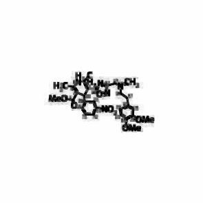 COC(=O)C1=C(C)NC(C)=C(c2nc(CN(C)CCc3ccc(OC)c(OC)c3)no2)C1c1cccc([N+](=O)[O-])c1